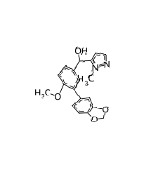 COc1ccc(C(O)c2ccnn2C)cc1-c1ccc2c(c1)OCO2